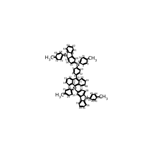 Cc1ccc(N(c2ccc(-c3c4ccccc4c(N(c4ccc(C)cc4)c4ccc5c(c4)c4ccccc4n5-c4ccc(C)cc4)c4ccccc34)cc2)c2ccc3c(c2)c2ccccc2n3-c2ccc(C)cc2)cc1